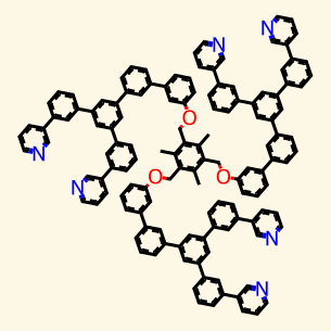 Cc1c(COc2cccc(-c3cccc(-c4cc(-c5cccc(-c6cccnc6)c5)cc(-c5cccc(-c6cccnc6)c5)c4)c3)c2)c(C)c(COc2cccc(-c3cccc(-c4cc(-c5cccc(-c6cccnc6)c5)cc(-c5cccc(-c6cccnc6)c5)c4)c3)c2)c(C)c1COc1cccc(-c2cccc(-c3cc(-c4cccc(-c5cccnc5)c4)cc(-c4cccc(-c5cccnc5)c4)c3)c2)c1